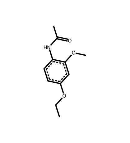 CCOc1ccc(NC(C)=O)c(OC)c1